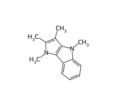 Cc1c(C)n(C)c2c3ccccc3n(C)c12